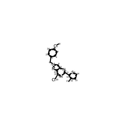 COc1ccc(Cn2cc3nc(-c4sccc4C)nc(Cl)c3n2)cc1